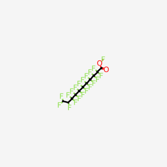 O=C(OF)C(F)(F)C(F)(F)C(F)(F)C(F)(F)C(F)(F)C(F)(F)C(F)(F)C(F)(F)C(F)C(F)F